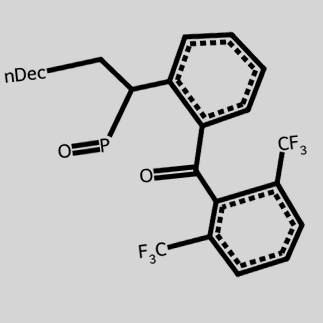 CCCCCCCCCCCC(P=O)c1ccccc1C(=O)c1c(C(F)(F)F)cccc1C(F)(F)F